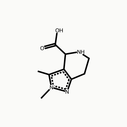 Cc1c2c(nn1C)CCNC2C(=O)O